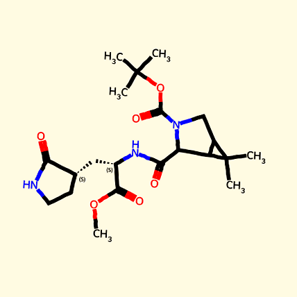 COC(=O)[C@H](C[C@@H]1CCNC1=O)NC(=O)C1C2C(CN1C(=O)OC(C)(C)C)C2(C)C